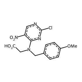 COc1ccc(CN(CC(=O)O)c2nc(Cl)ncc2[N+](=O)[O-])cc1